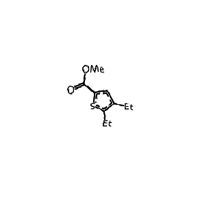 CCc1cc(C(=O)OC)sc1CC